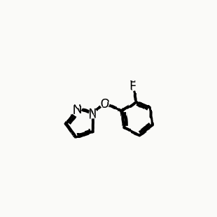 Fc1ccccc1On1cccn1